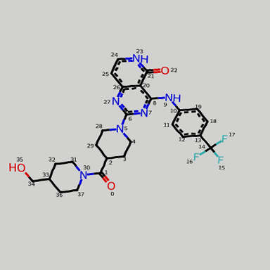 O=C(C1CCN(c2nc(Nc3ccc(C(F)(F)F)cc3)c3c(=O)[nH]ccc3n2)CC1)N1CCC(CO)CC1